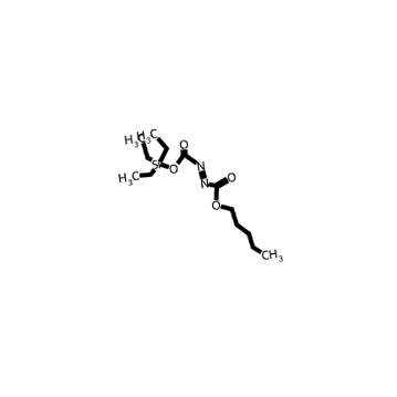 CCCCCOC(=O)N=NC(=O)O[Si](CC)(CC)CC